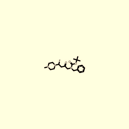 CN1CCN(C(F)CC(=O)CN(Cc2ccccc2)C(=O)OC(C)(C)C)CC1